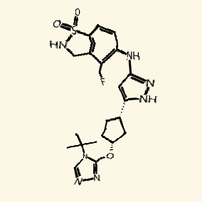 CC(C)(C)n1cnnc1O[C@@H]1CC[C@H](c2cc(Nc3ccc4c(c3F)CNS4(=O)=O)n[nH]2)C1